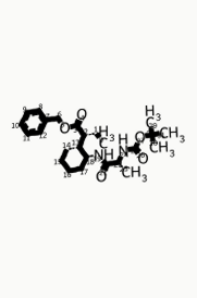 CC[C@@H](C(=O)OCc1ccccc1)[C@H]1CCCC[C@H]1NC(=O)[C@@H](C)NC(=O)OC(C)(C)C